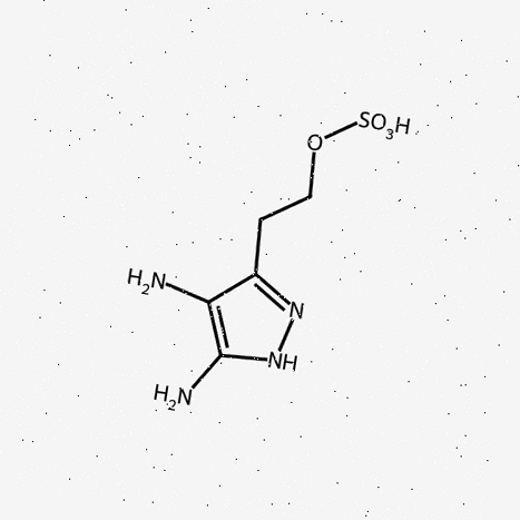 Nc1[nH]nc(CCOS(=O)(=O)O)c1N